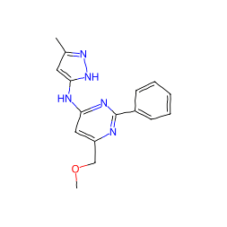 COCc1cc(Nc2cc(C)n[nH]2)nc(-c2ccccc2)n1